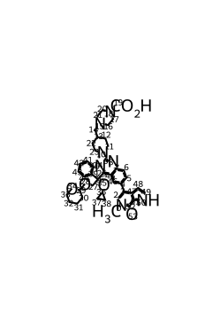 Cn1cc(-c2ccc3nc(N4CCC(CN5CCN(C(=O)O)CC5)CC4)nc(C(COC4CCCCO4)(OC4CC4)c4ccccc4)c3c2)c2cc[nH]c2c1=O